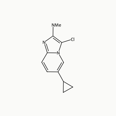 CNc1nc2ccc(C3CC3)cn2c1Cl